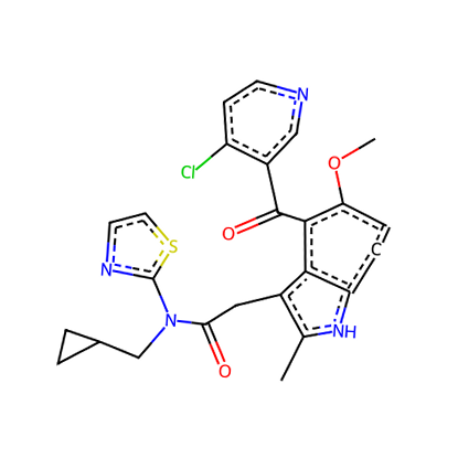 COc1ccc2[nH]c(C)c(CC(=O)N(CC3CC3)c3nccs3)c2c1C(=O)c1cnccc1Cl